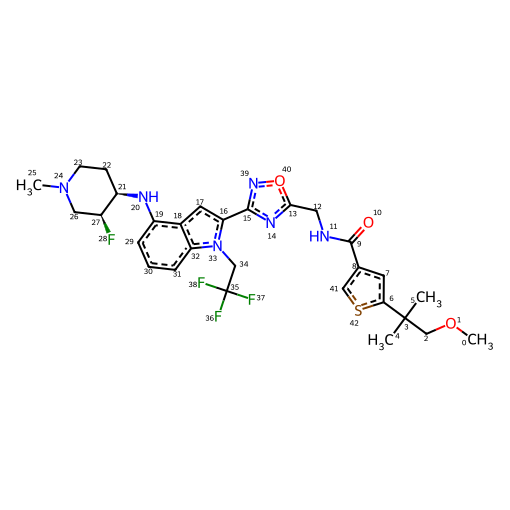 COCC(C)(C)c1cc(C(=O)NCc2nc(-c3cc4c(N[C@@H]5CCN(C)C[C@@H]5F)cccc4n3CC(F)(F)F)no2)cs1